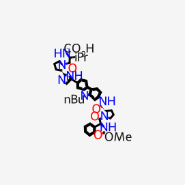 CCCCn1c2cc(NC(=O)[C@@H]3CCCN3C(=O)C(NC(=O)OC)c3ccccc3)ccc2c2ccc(-c3cnc([C@@H]4CCCN4C(=O)C(NC(=O)O)C(C)C)[nH]3)cc21